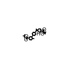 Cc1ccc(C(=O)OC(C)(C)C)cc1-c1ccc(C2CC23CCN(C(=O)C2(O)CC2)CC3)cc1